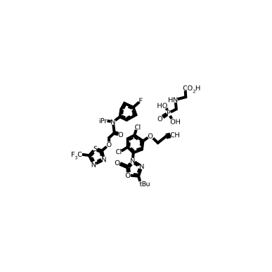 C#CCOc1cc(-n2nc(C(C)(C)C)oc2=O)c(Cl)cc1Cl.CC(C)N(C(=O)COc1nnc(C(F)(F)F)s1)c1ccc(F)cc1.O=C(O)CNCP(=O)(O)O